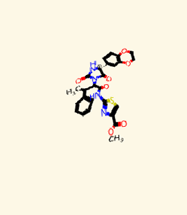 COC(=O)c1csc(NC(=O)C(C(C)c2ccccc2)N2C(=O)N[C@H](c3ccc4c(c3)OCCO4)C2=O)n1